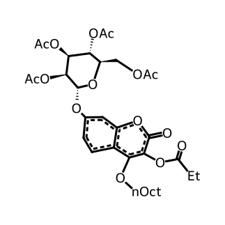 CCCCCCCCOc1c(OC(=O)CC)c(=O)oc2cc(O[C@H]3O[C@H](COC(C)=O)[C@@H](OC(C)=O)[C@H](OC(C)=O)[C@@H]3OC(C)=O)ccc12